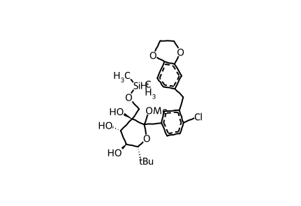 COC1(c2ccc(Cl)c(Cc3ccc4c(c3)OCCO4)c2)O[C@H](C(C)(C)C)[C@@H](O)[C@H](O)[C@]1(O)CO[SiH](C)C